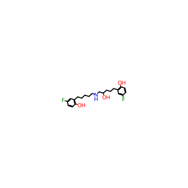 Oc1ccc(F)cc1CCCCCNCC(O)CCCc1cc(F)ccc1O